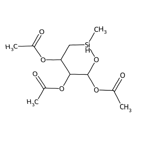 CC(=O)OC1C[SiH](C)OC(OC(C)=O)C1OC(C)=O